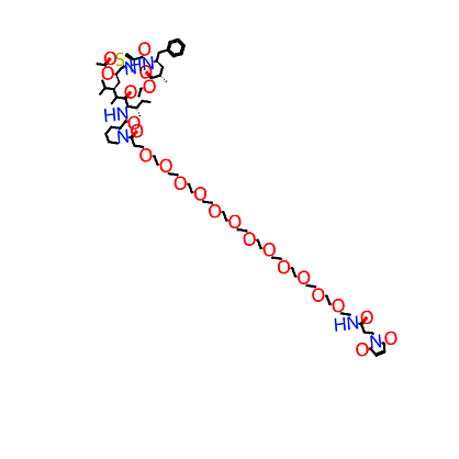 CCOC(=O)[C@@H](C)C[C@H](Cc1ccccc1)NC(=O)c1csc([C@@H](C[C@H](C(C)C)C(C)C(=O)[C@@H](NC(=O)C2CCCCN2C(=O)CCOCCOCCOCCOCCOCCOCCOCCOCCOCCOCCOCCOCCNC(=O)CCN2C(=O)C=CC2=O)[C@@H](C)CC)OC(C)=O)n1